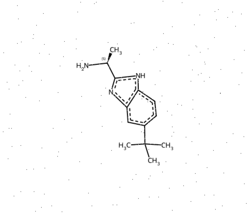 C[C@H](N)c1nc2cc(C(C)(C)C)ccc2[nH]1